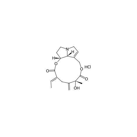 C=C1C/C(=C\C)C(=O)O[C@@H]2CCN3CC=C(COC(=O)[C@]1(C)O)[C@H]23.Cl